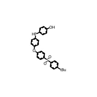 CC(C)(C)c1ccc(S(=O)(=O)c2ccc(Oc3ccc(Pc4ccc(O)cc4)cc3)cc2)cc1